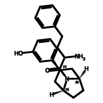 NC(CCc1ccccc1)C(=O)N1[C@@H]2CC[C@H]1C[C@@H](c1cccc(O)c1)C2